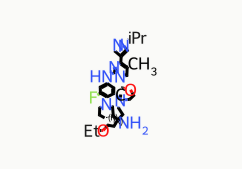 CCOCC[C@](N)(CCN1CCOCC1)[C@@H]1CCCN(c2ccc(Nc3ncc(C)c(-c4cnn(C(C)C)c4)n3)cc2F)C1